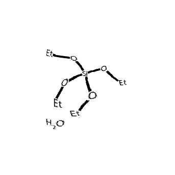 CCO[Si](OCC)(OCC)OCC.O